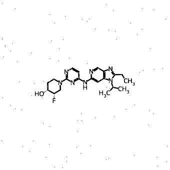 CCc1nc2cnc(Nc3ccnc(N4CC[C@@H](O)[C@@H](F)C4)n3)cc2n1C(C)C